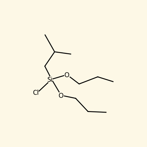 CCCO[Si](Cl)(CC(C)C)OCCC